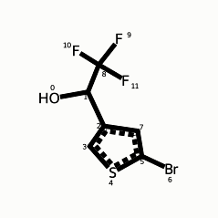 OC(c1csc(Br)c1)C(F)(F)F